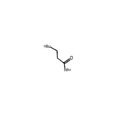 [CH2]CCCCCC(=O)CCCC